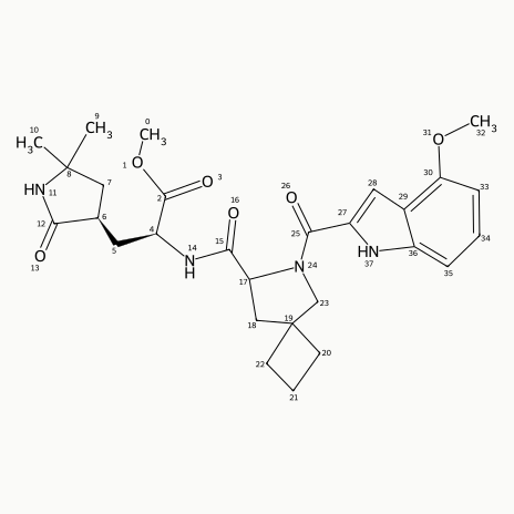 COC(=O)[C@H](C[C@@H]1CC(C)(C)NC1=O)NC(=O)C1CC2(CCC2)CN1C(=O)c1cc2c(OC)cccc2[nH]1